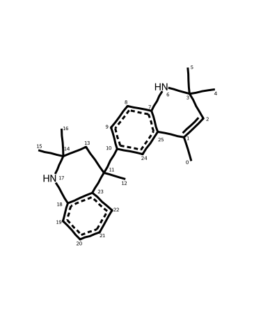 CC1=CC(C)(C)Nc2ccc(C3(C)CC(C)(C)Nc4ccccc43)cc21